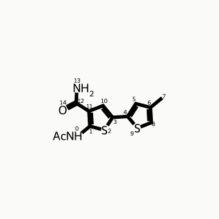 CC(=O)Nc1sc(-c2cc(C)cs2)cc1C(N)=O